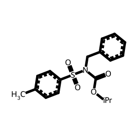 Cc1ccc(S(=O)(=O)N(Cc2ccccc2)C(=O)OC(C)C)cc1